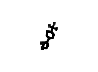 FC(F)(F)c1ccc(-c2c[c]n[nH]2)cc1